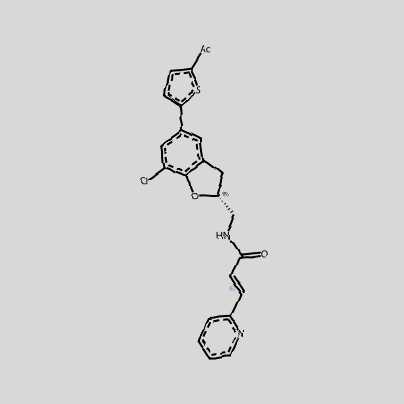 CC(=O)c1ccc(-c2cc(Cl)c3c(c2)C[C@H](CNC(=O)/C=C/c2ccccn2)O3)s1